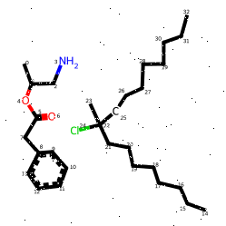 CC(CN)OC(=O)Cc1ccccc1.CCCCCCCCC(C)(Cl)CCCCCCCC